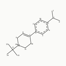 CC(C)c1ccc(C2=CCN(C(C)(C)C)CC2)cc1